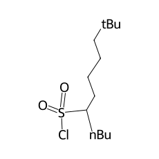 CCCCC(CCCCC(C)(C)C)S(=O)(=O)Cl